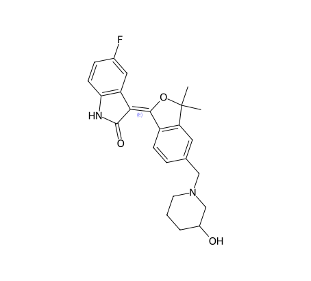 CC1(C)O/C(=C2/C(=O)Nc3ccc(F)cc32)c2ccc(CN3CCCC(O)C3)cc21